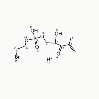 C=C(C)C(=O)C(O)COP(=O)(O)OCCBr.[H+]